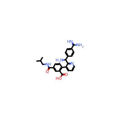 CC(C)CNC(=O)c1ccc(-c2cccnc2C(N)c2ccc(C(=N)N)cc2)c(C(=O)O)c1